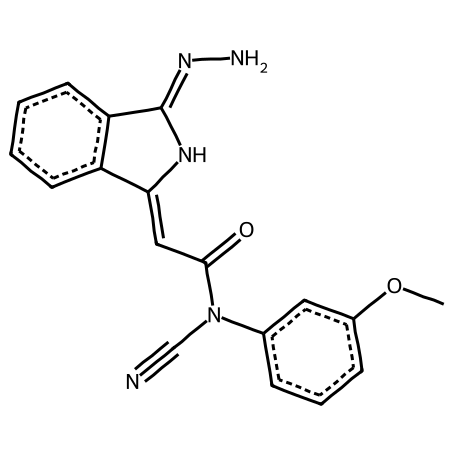 COc1cccc(N(C#N)C(=O)C=C2NC(=NN)c3ccccc32)c1